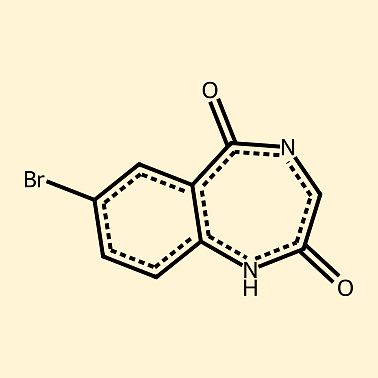 O=c1cnc(=O)c2cc(Br)ccc2[nH]1